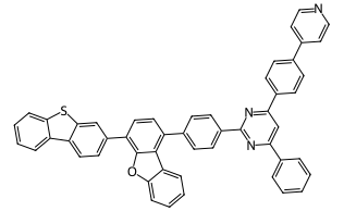 c1ccc(-c2cc(-c3ccc(-c4ccncc4)cc3)nc(-c3ccc(-c4ccc(-c5ccc6c(c5)sc5ccccc56)c5oc6ccccc6c45)cc3)n2)cc1